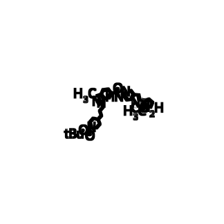 Cc1nn(CCCC2CCN(C(=O)OC(C)(C)C)CC2)c2cc(C(=O)Nc3cc4c(cn3)cc([C@H]3CCCN3C)n4C(=O)O)ccc12